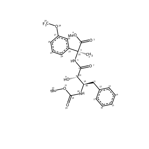 COC(=O)[C@@](C)(NC(=O)[C@@H](O)[C@@H](Cc1ccccc1)NC(=O)OC(C)(C)C)c1cccc(OC(F)(F)F)c1